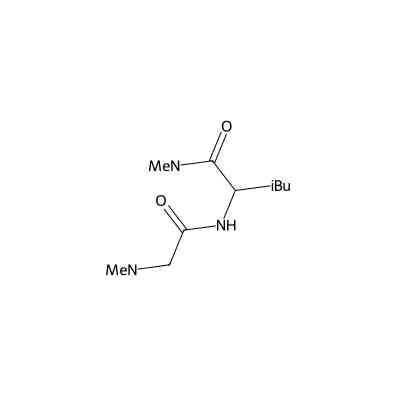 CCC(C)C(NC(=O)CNC)C(=O)NC